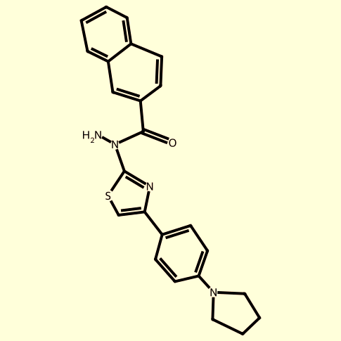 NN(C(=O)c1ccc2ccccc2c1)c1nc(-c2ccc(N3CCCC3)cc2)cs1